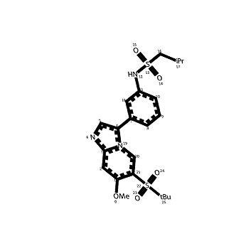 COc1cc2ncc(-c3cccc(NS(=O)(=O)CC(C)C)c3)n2cc1S(=O)(=O)C(C)(C)C